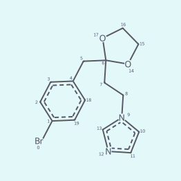 Brc1ccc(CC2(CCn3ccnc3)OCCO2)cc1